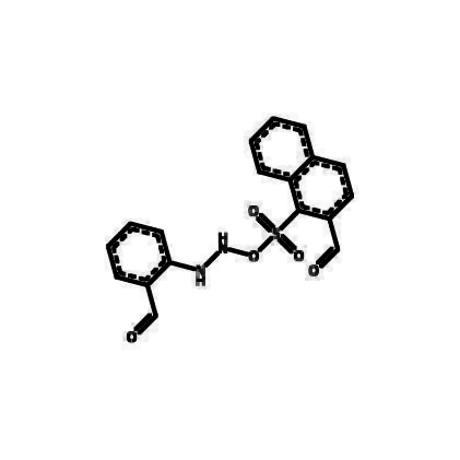 O=Cc1ccccc1NNOS(=O)(=O)c1c(C=O)ccc2ccccc12